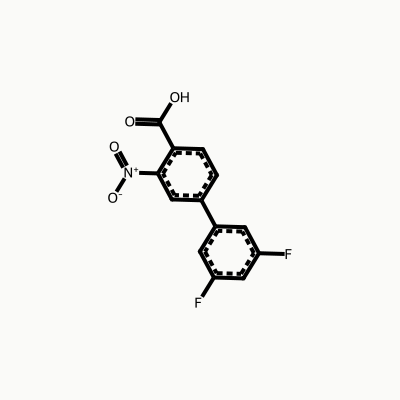 O=C(O)c1ccc(-c2cc(F)cc(F)c2)cc1[N+](=O)[O-]